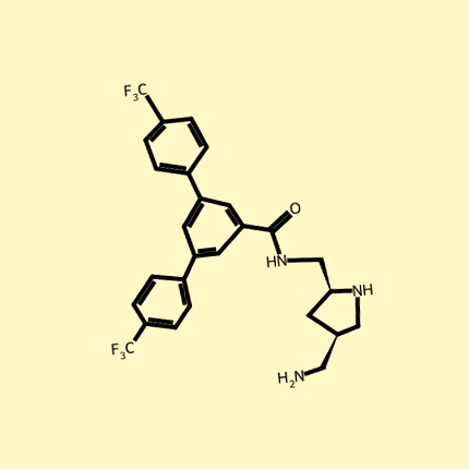 NC[C@@H]1CN[C@H](CNC(=O)c2cc(-c3ccc(C(F)(F)F)cc3)cc(-c3ccc(C(F)(F)F)cc3)c2)C1